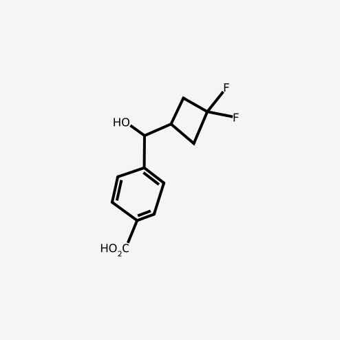 O=C(O)c1ccc(C(O)C2CC(F)(F)C2)cc1